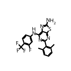 Cc1cccc(C)c1-c1nc(Nc2ccc(C(F)(F)F)c(F)c2)c2nc(N)sc2n1